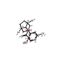 CC(C)(C)OC(=O)NC1[C@@H]2CC[C@H]1CN(c1ccnc(C(F)(F)F)c1)C2